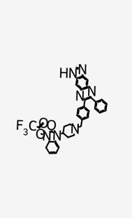 O=C1N(OC(=O)C(F)(F)F)C2CC=CC=C2N1C1CCN(Cc2ccc(-c3nc4cc5[nH]cnc5cc4nc3-c3ccccc3)cc2)CC1